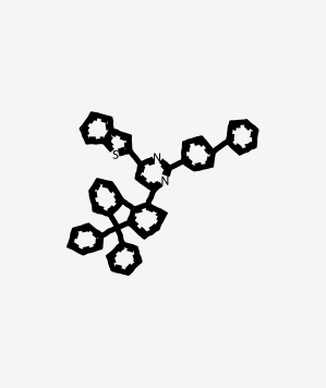 c1ccc(-c2ccc(-c3nc(-c4cc5ccccc5s4)cc(-c4cccc5c4-c4ccccc4C5(c4ccccc4)c4ccccc4)n3)cc2)cc1